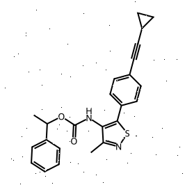 Cc1nsc(-c2ccc(C#CC3CC3)cc2)c1NC(=O)OC(C)c1ccccc1